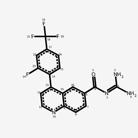 NC(N)=NC(=O)c1ccc2nccc(-c3ccc(C(F)(F)F)cc3F)c2c1